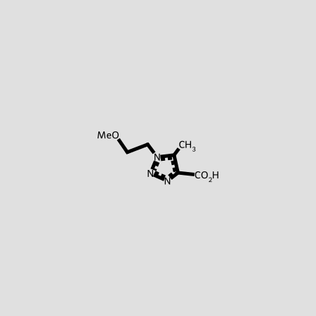 COCCn1nnc(C(=O)O)c1C